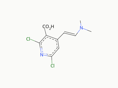 CN(C)C=Cc1cc(Cl)nc(Cl)c1C(=O)O